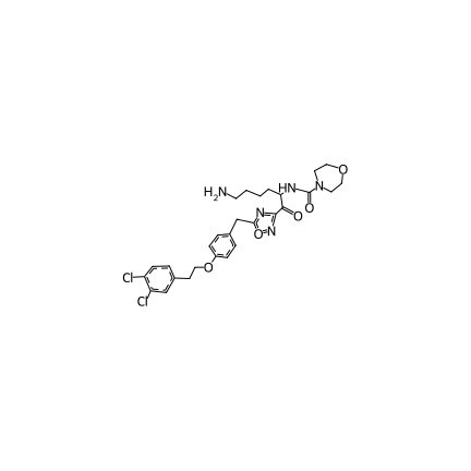 NCCCCC(NC(=O)N1CCOCC1)C(=O)c1noc(Cc2ccc(OCCc3ccc(Cl)c(Cl)c3)cc2)n1